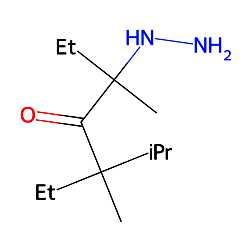 CCC(C)(NN)C(=O)C(C)(CC)C(C)C